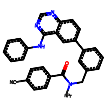 CCCN(Cc1cccc(-c2ccc3ncnc(Nc4ccccc4)c3c2)c1)C(=O)c1ccc(C#N)cc1